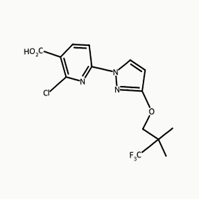 CC(C)(COc1ccn(-c2ccc(C(=O)O)c(Cl)n2)n1)C(F)(F)F